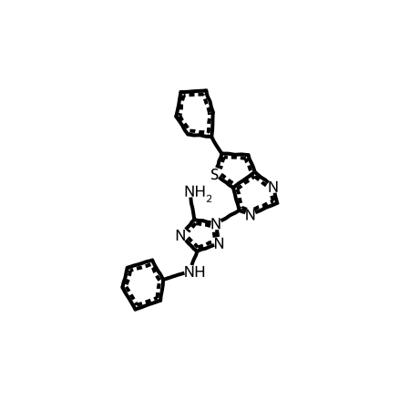 Nc1nc(Nc2ccccc2)nn1-c1ncnc2cc(-c3ccccc3)sc12